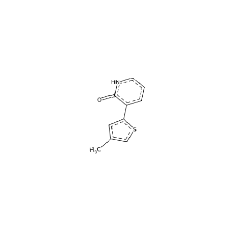 Cc1csc(-c2ccc[nH]c2=O)c1